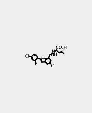 C/C=C/C(=N\NCc1cc(Cl)cc2cc(-c3ccc(Cl)cc3F)oc12)C(=O)O